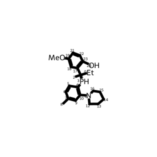 CCC(C)(Pc1ccc(C)cc1N1CCCCC1)c1cc(OC)ccc1O